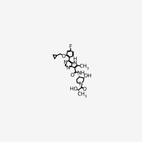 Cc1[nH]c2c(-c3ccc(F)cc3OCC3CC3)ncnc2c1C(=O)N[C@H]1CCN(C(=O)[C@H](C)O)C[C@@H]1O